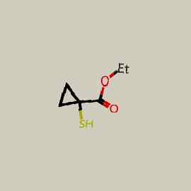 CCOC(=O)C1(S)CC1